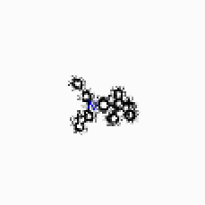 CC1(C)c2ccccc2-c2ccc(N(c3ccc(-c4ccccc4)cc3)c3ccc(-c4c(-c5ccccc5)c5c(c6ccccc46)C(C)(C)c4ccccc4-5)cc3)cc21